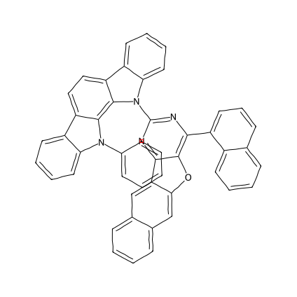 c1ccc(-n2c3ccccc3c3ccc4c5ccccc5n(-c5nc(-c6cccc7ccccc67)c6oc7cc8ccccc8cc7c6n5)c4c32)cc1